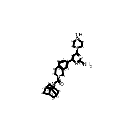 CN1CCN(c2cc(-c3ccc4c(c3)CN(C(=O)NC35CC6CC(CC(C6)C3)C5)CC4)nc(N)n2)CC1